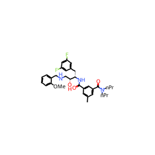 CCCN(CCC)C(=O)c1cc(C)cc(C(=O)N[C@@H](Cc2cc(F)cc(F)c2)[C@H](O)CNCc2ccccc2OC)c1